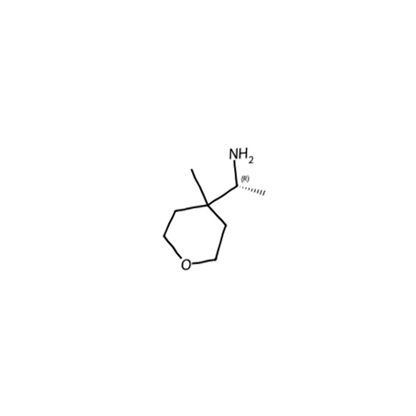 C[C@@H](N)C1(C)CCOCC1